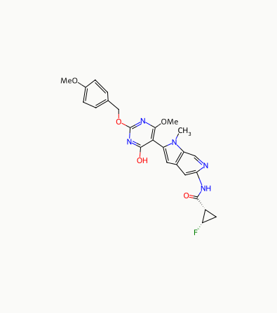 COc1ccc(COc2nc(O)c(-c3cc4cc(NC(=O)[C@@H]5C[C@@H]5F)ncc4n3C)c(OC)n2)cc1